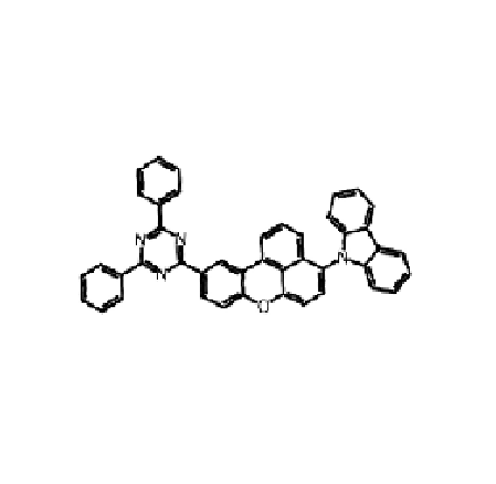 c1ccc(-c2nc(-c3ccccc3)nc(-c3ccc4c(c3)-c3cccc5c(-n6c7ccccc7c7ccccc76)ccc(c35)O4)n2)cc1